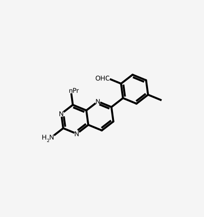 CCCc1nc(N)nc2ccc(-c3cc(C)ccc3C=O)nc12